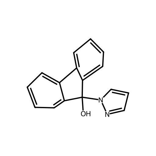 OC1(n2cccn2)c2ccccc2-c2ccccc21